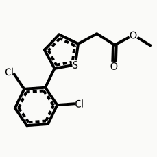 COC(=O)Cc1ccc(-c2c(Cl)cccc2Cl)s1